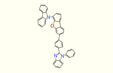 c1ccc(-n2c(-c3ccc(-c4ccc5c(c4)oc4c(-n6c7ccccc7c7ccccc76)cccc45)cc3)nc3ccccc32)cc1